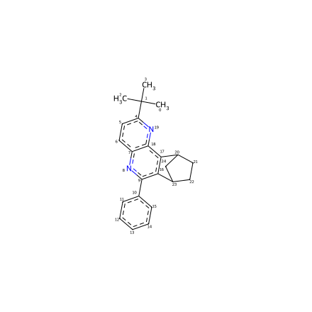 CC(C)(C)c1ccc2nc(-c3ccccc3)c3c(c2n1)C1CCC3C1